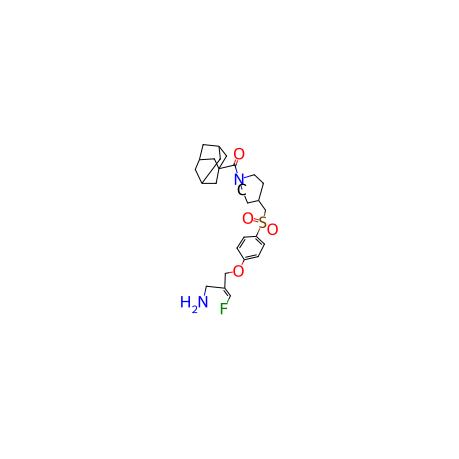 NCC(=CF)COc1ccc(S(=O)(=O)CC2CCN(C(=O)C34CC5CC(CC(C5)C3)C4)CC2)cc1